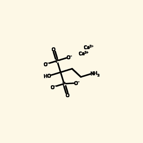 NCCC(O)(P(=O)([O-])[O-])P(=O)([O-])[O-].[Ca+2].[Ca+2]